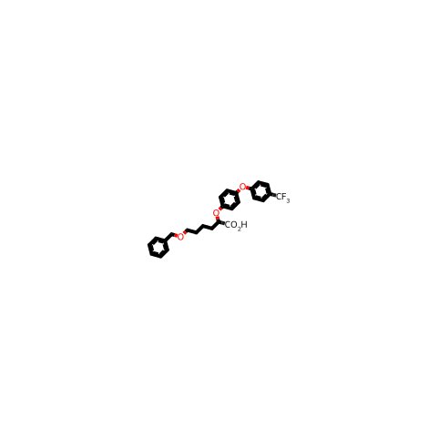 O=C(O)C(CCCCOCc1ccccc1)Oc1ccc(Oc2ccc(C(F)(F)F)cc2)cc1